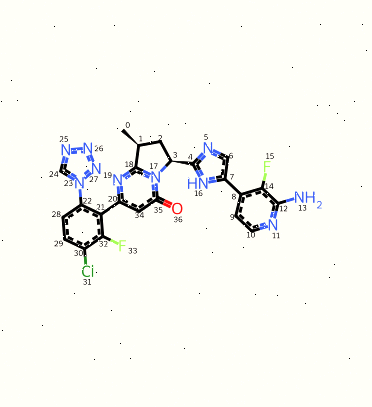 C[C@H]1C[C@@H](c2ncc(-c3ccnc(N)c3F)[nH]2)n2c1nc(-c1c(-n3cnnn3)ccc(Cl)c1F)cc2=O